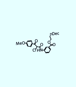 CCCCCCCCCCCCOC(=O)c1cccc(NC(=O)C(Cl)C(=O)c2ccc(OC)cc2)c1